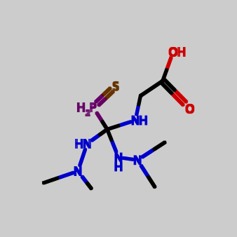 CN(C)NC(NCC(=O)O)(NN(C)C)[PH2]=S